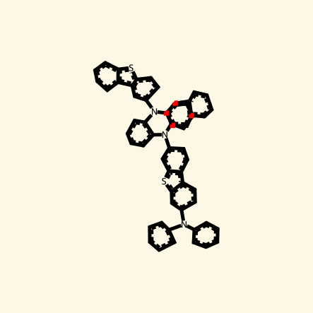 c1ccc(N(c2ccccc2)c2ccc3c(c2)sc2cc(N(c4ccccc4N(c4ccc5ccccc5c4)c4ccc5sc6ccccc6c5c4)C4CCCCC4)ccc23)cc1